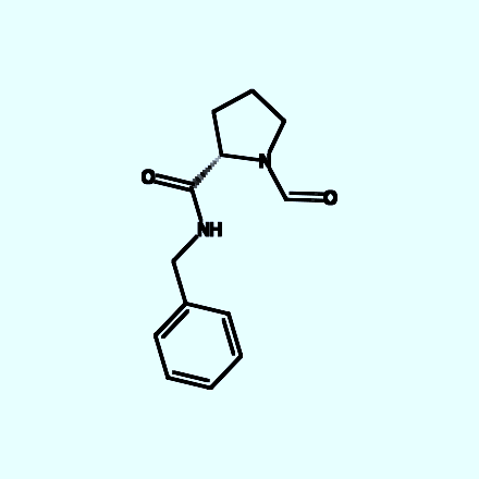 O=CN1CCC[C@H]1C(=O)NCc1ccccc1